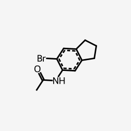 CC(=O)Nc1cc2c(cc1Br)CCC2